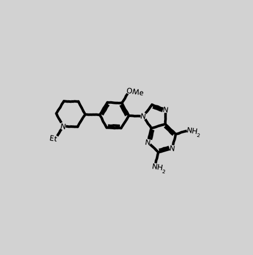 CCN1CCCC(c2ccc(-n3cnc4c(N)nc(N)nc43)c(OC)c2)C1